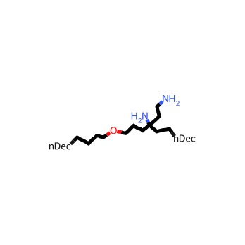 CCCCCCCCCCCCCCOCCCC(N)(CCN)CCCCCCCCCCCC